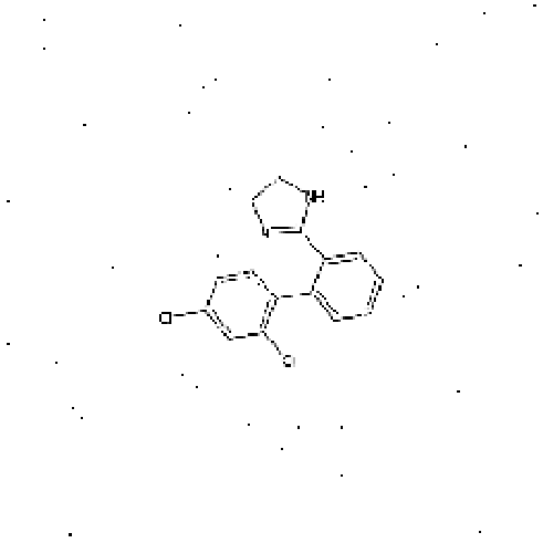 Clc1ccc(-c2ccccc2C2=NCCN2)c(Cl)c1